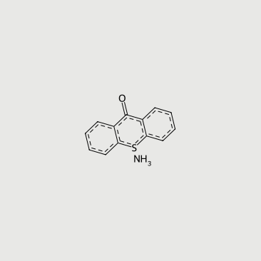 N.O=c1c2ccccc2sc2ccccc12